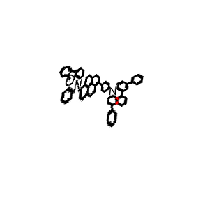 c1ccc(-c2ccc(N(c3ccc(-c4ccc5ccc6c(N(c7ccccc7)c7cccc8c7oc7ccccc78)ccc7ccc4c5c76)cc3)c3ccc(-c4ccccc4)cc3-c3ccccc3)cc2)cc1